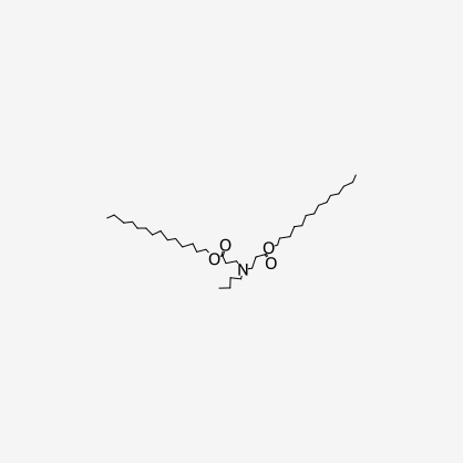 CCCCCCCCCCCCCCOC(=O)CCN(CCCC)CCC(=O)OCCCCCCCCCCCCCC